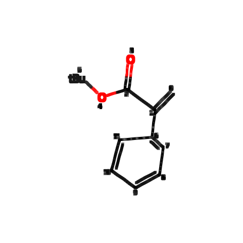 C=C(C(=O)OC(C)(C)C)c1ccccc1